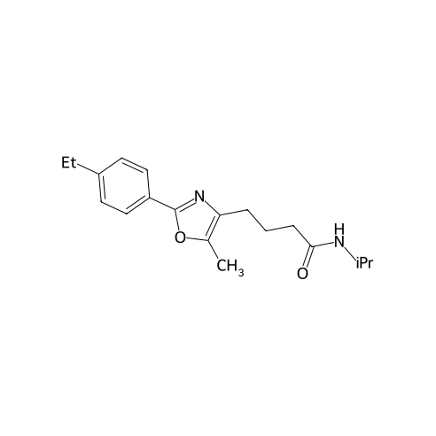 CCc1ccc(-c2nc(CCCC(=O)NC(C)C)c(C)o2)cc1